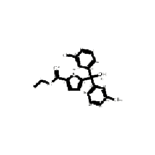 CCOC(=O)c1ccc(C(O)(c2cccc(Cl)c2)c2cccc(Cl)c2)s1